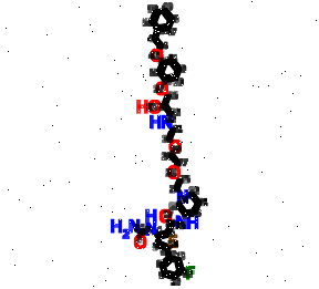 NC(=O)Nc1cc(-c2cccc(F)c2)sc1C(=O)N[C@H]1CCCN(CCOCCOCCNCC(O)COc2cccc(OCCc3ccccc3)c2)C1